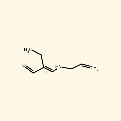 C=CCN/C=C(/C=O)CC